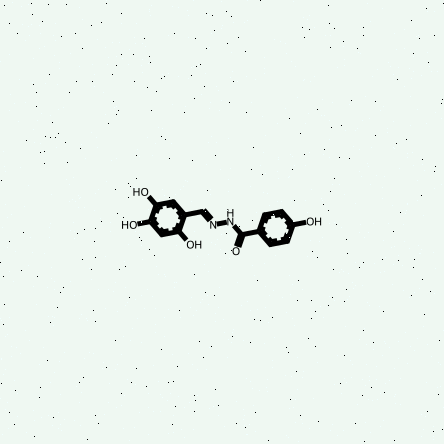 O=C(NN=Cc1cc(O)c(O)cc1O)c1ccc(O)cc1